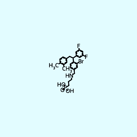 Cc1ccc(CC(c2cc(F)cc(F)c2)c2ccc(CNCCCP(=O)(O)O)cc2Br)cc1C